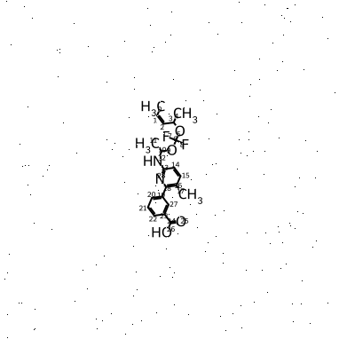 C/C=C\C(C)OC(F)(F)OC(C)Nc1ccc(C)c(-c2cccc(C(=O)O)c2)n1